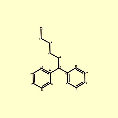 [CH]CCCCC(c1ccccc1)c1ccccc1